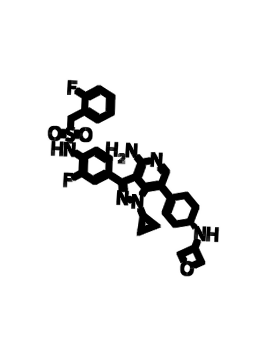 Nc1ncc(C2=CC[C@H](NC3COC3)CC2)c2c1c(-c1ccc(NS(=O)(=O)Cc3ccccc3F)c(F)c1)nn2C1CC1